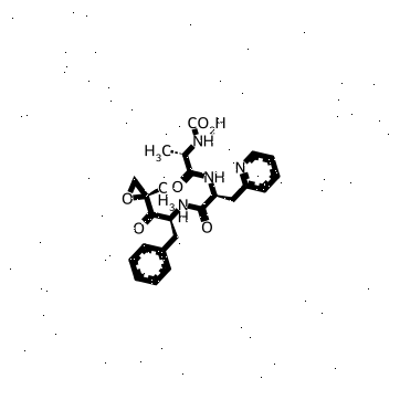 C[C@H](NC(=O)O)C(=O)N[C@@H](Cc1ccccn1)C(=O)N[C@@H](Cc1ccccc1)C(=O)[C@@]1(C)CO1